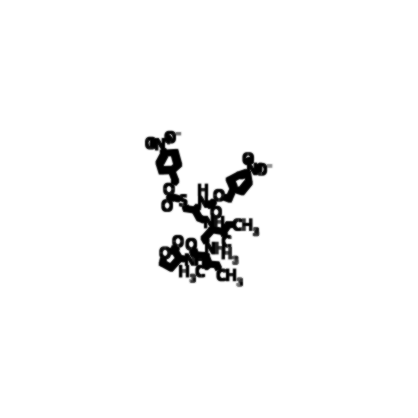 CCC(C)C(CNC(C(=O)NC1CCOC1=O)C(C)CC)NCC(CSC(=O)OCc1ccc([N+](=O)[O-])cc1)NC(=O)OCc1ccc([N+](=O)[O-])cc1